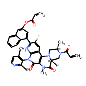 C=CC(=O)Oc1cc(-c2nc3c(cc2F)c2c(c(=O)n3-c3c(C)ccnc3C(C)C)N(C)C(=O)[C@H]3CN(C(=O)C=C)[C@H](C)CN23)c2ccccc2c1